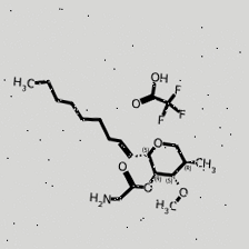 CCCCCCCC=C[C@@H]1OC[C@@H](C)[C@H](OC)[C@H]1OC(=O)CN.O=C(O)C(F)(F)F